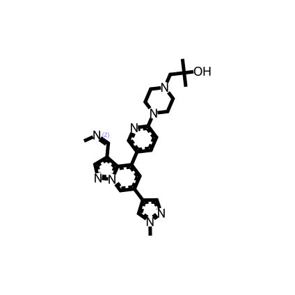 C/N=C\c1cnn2cc(-c3cnn(C)c3)cc(-c3ccc(N4CCN(CC(C)(C)O)CC4)nc3)c12